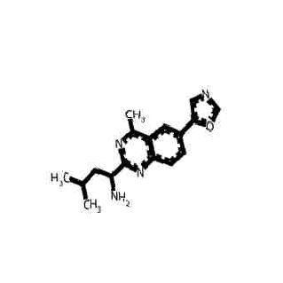 Cc1nc(C(N)CC(C)C)nc2ccc(-c3cnco3)cc12